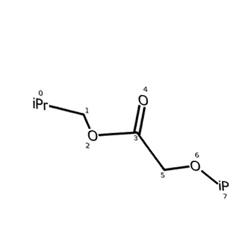 CC(C)COC(=O)COC(C)C